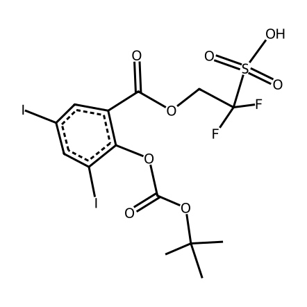 CC(C)(C)OC(=O)Oc1c(I)cc(I)cc1C(=O)OCC(F)(F)S(=O)(=O)O